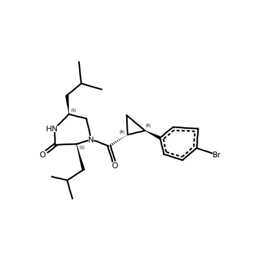 CC(C)C[C@H]1CN(C(=O)[C@@H]2C[C@H]2c2ccc(Br)cc2)[C@@H](CC(C)C)C(=O)N1